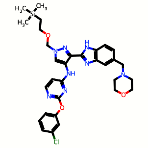 C[Si](C)(C)CCOCn1cc(Nc2ccnc(Oc3cccc(Cl)c3)n2)c(-c2nc3cc(CN4CCOCC4)ccc3[nH]2)n1